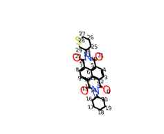 O=C1c2ccc3c4c(ccc(c24)C(=O)N1C1CCCCC1)C(=O)N(C1CCCSC1)C3=O